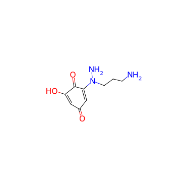 NCCCN(N)C1=CC(=O)C=C(O)C1=O